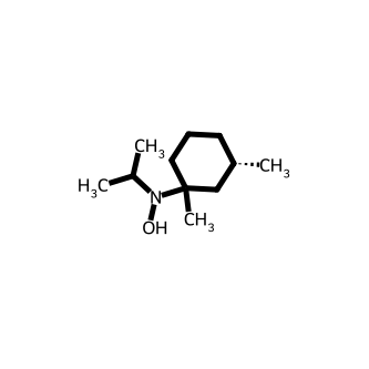 CC(C)N(O)C1(C)CCC[C@H](C)C1